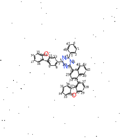 c1ccc(-c2nc(-c3ccc4c(c3)oc3ccccc34)nc(-c3ccc(-c4cccc5oc6ccccc6c45)c4ccccc34)n2)cc1